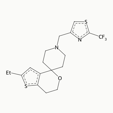 CCc1cc2c(s1)CCOC21CCN(Cc2csc(C(F)(F)F)n2)CC1